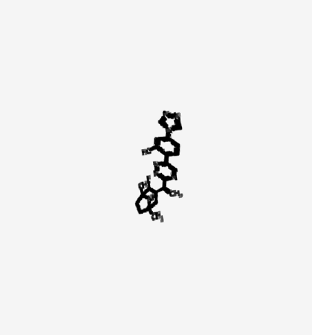 C=C(c1ncc(-c2ccc(-n3cnnc3)cc2O)nn1)[C@H]1C[C@]2(C)CC[C@@](C)(N2)[C@H]1F